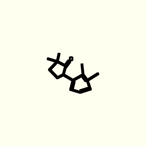 Cc1cccc(C2CCC(C)(C)C2=O)c1C